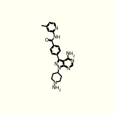 Cc1ccnc(NC(=O)c2ccc(-c3nn(C4CCN(N)CC4)c4ncnc(N)c34)cc2)c1